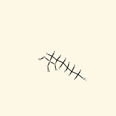 CCO[Si](OCC)(OCC)C(F)(F)C(F)(F)C(F)(F)C(F)(F)C(F)(F)C(F)(F)C(F)(F)F